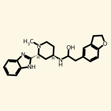 CN1CC[C@@H](NC(O)Cc2ccc3c(c2)CCO3)C[C@@H]1c1nc2ccccc2[nH]1